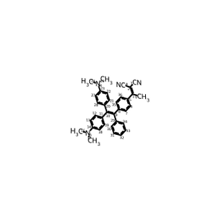 CC(=C(C#N)C#N)c1ccc(C(=C(c2ccc(N(C)C)cc2)c2ccc(N(C)C)cc2)c2ccccc2)cc1